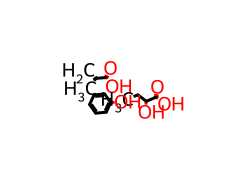 C=C(C)C(=O)O.CCC(O)C(=O)O.Oc1ccccc1